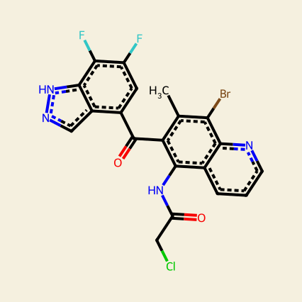 Cc1c(C(=O)c2cc(F)c(F)c3[nH]ncc23)c(NC(=O)CCl)c2cccnc2c1Br